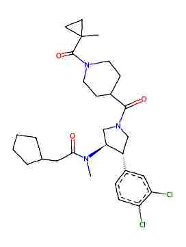 CN(C(=O)CC1CCCC1)[C@H]1CN(C(=O)C2CCN(C(=O)C3(C)CC3)CC2)C[C@@H]1c1ccc(Cl)c(Cl)c1